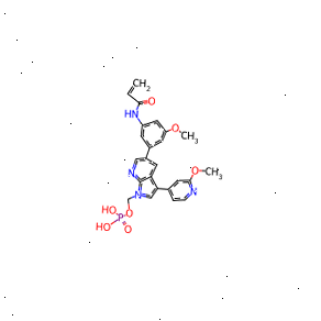 C=CC(=O)Nc1cc(OC)cc(-c2cnc3c(c2)c(-c2ccnc(OC)c2)cn3COP(=O)(O)O)c1